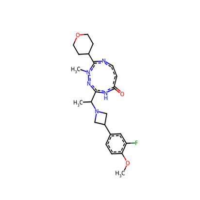 COc1ccc(C2CN(C(C)c3nn(C)c(C4CCOCC4)nccc(=O)[nH]3)C2)cc1F